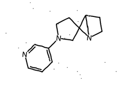 c1cncc(N2CCC3(C2)C2CCN3CC2)c1